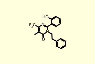 Cc1c(C(F)(F)F)nc(-c2ccccc2O)n(CCc2ccccc2)c1=O